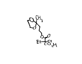 CCC(CC)(C(=O)O)C(=O)OCCCC1(C)OCCO1